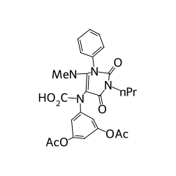 CCCn1c(=O)c(N(C(=O)O)c2cc(OC(C)=O)cc(OC(C)=O)c2)c(NC)n(-c2ccccc2)c1=O